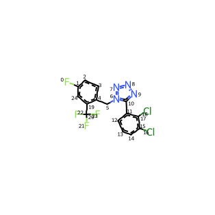 Fc1ccc(Cn2nnnc2-c2cccc(Cl)c2Cl)c(C(F)(F)F)c1